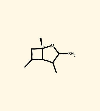 BC1O[C@@]2(C)CC(C)C2C1C